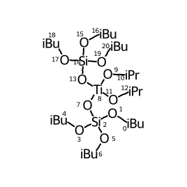 CCC(C)O[Si](OC(C)CC)(OC(C)CC)[O][Ti]([O]C(C)C)([O]C(C)C)[O][Si](OC(C)CC)(OC(C)CC)OC(C)CC